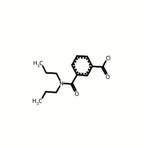 CCCN(CCC)C(=O)c1cccc(C(=O)Cl)c1